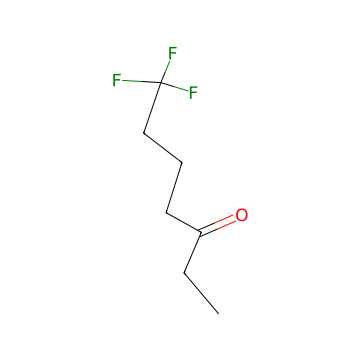 CCC(=O)CCCC(F)(F)F